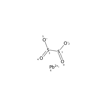 O=S([O-])S(=O)[O-].[Pb+2]